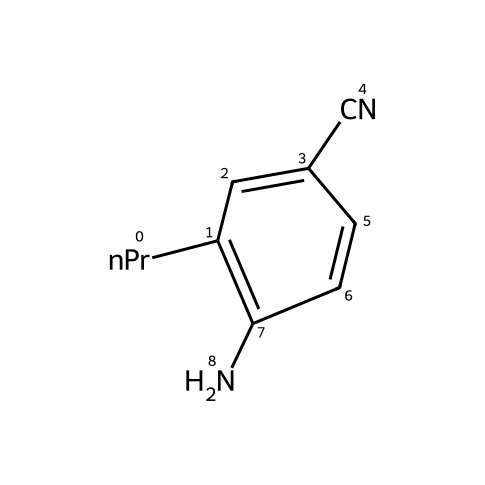 CCCc1cc(C#N)ccc1N